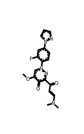 COc1cn(-c2ccc(-n3cccn3)cc2F)nc(C(=O)C=CN(C)C)c1=O